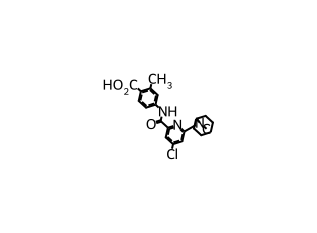 Cc1cc(NC(=O)c2cc(Cl)cc(N3CC4CCC3CC4)n2)ccc1C(=O)O